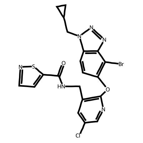 O=C(NCc1cc(Cl)cnc1Oc1ccc2c(nnn2CC2CC2)c1Br)c1ccns1